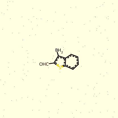 Bc1c(C=O)sc2ccccc12